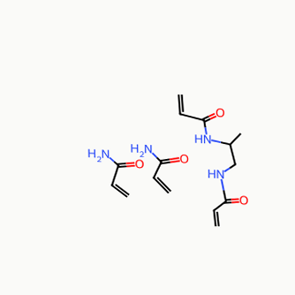 C=CC(=O)NCC(C)NC(=O)C=C.C=CC(N)=O.C=CC(N)=O